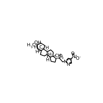 C[C@@]1(O)CC[C@@]2(C)[C@H](CC[C@@H]3[C@@H]2CC[C@]2(C)[C@@H](C(=O)Cn4cc([N+](=O)[O-])cn4)CC[C@@H]32)C1